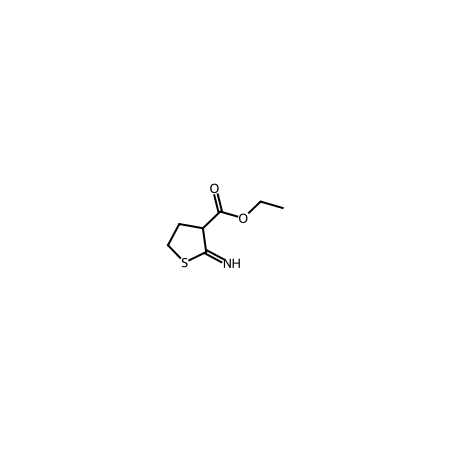 CCOC(=O)C1CCSC1=N